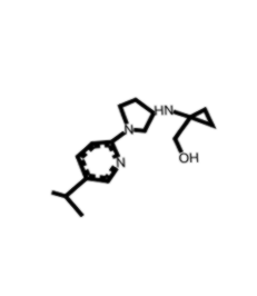 CC(C)c1ccc(N2CCC(NC3(CO)CC3)C2)nc1